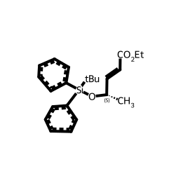 CCOC(=O)C=C[C@H](C)O[Si](c1ccccc1)(c1ccccc1)C(C)(C)C